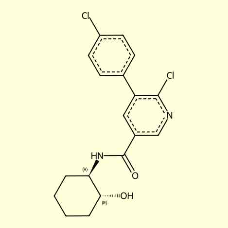 O=C(N[C@@H]1CCCC[C@H]1O)c1cnc(Cl)c(-c2ccc(Cl)cc2)c1